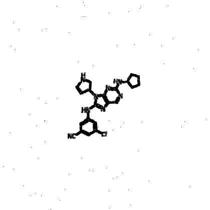 N#Cc1cc(Cl)cc(Nc2nc3cnc(NC4CCCC4)nc3n2C2CCNC2)c1